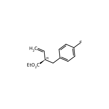 C=C[C@@H](Cc1ccc(F)cc1)C(=O)OCC